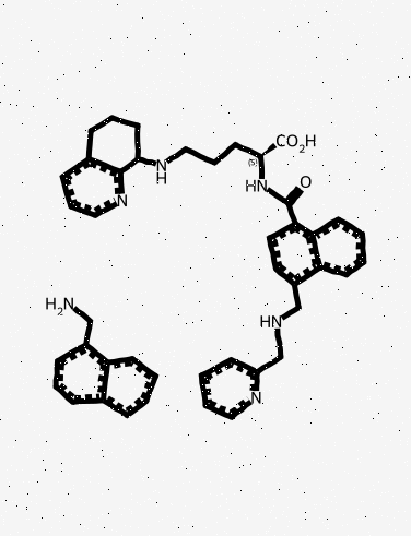 NCc1cccc2ccccc12.O=C(N[C@@H](CCCNC1CCCc2cccnc21)C(=O)O)c1ccc(CNCc2ccccn2)c2ccccc12